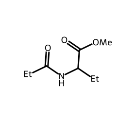 CCC(=O)NC(CC)C(=O)OC